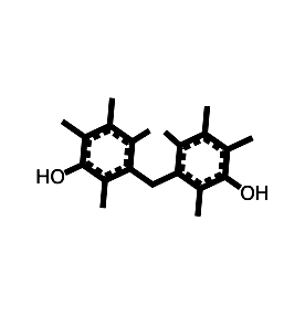 Cc1c(C)c(O)c(C)c(Cc2c(C)c(C)c(C)c(O)c2C)c1C